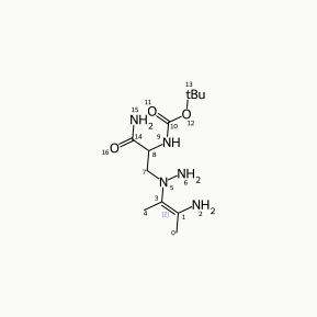 C/C(N)=C(\C)N(N)CC(NC(=O)OC(C)(C)C)C(N)=O